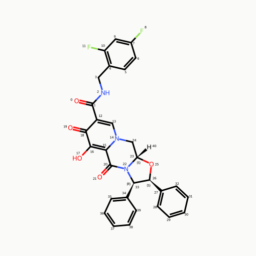 O=C(NCc1ccc(F)cc1F)c1cn2c(c(O)c1=O)C(=O)N1[C@H](C2)O[C@@H](c2ccccc2)[C@H]1c1ccccc1